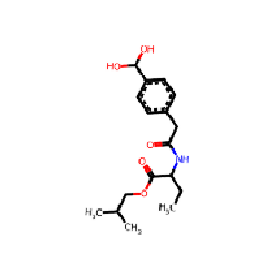 CCC(NC(=O)Cc1ccc(C(O)O)cc1)C(=O)OCC(C)C